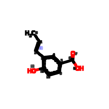 C/C=C/c1cc(C(=O)O)ccc1O